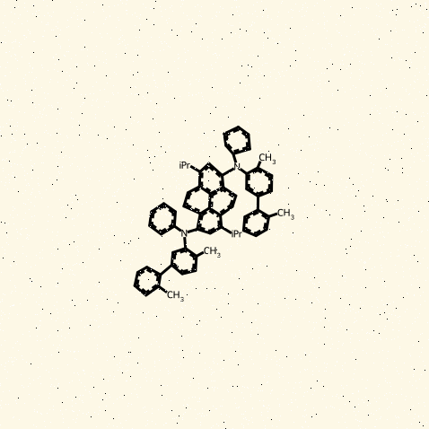 Cc1ccccc1-c1ccc(C)c(N(c2ccccc2)c2cc(C(C)C)c3ccc4c(N(c5ccccc5)c5cc(-c6ccccc6C)ccc5C)cc(C(C)C)c5ccc2c3c54)c1